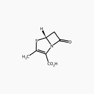 CC1=C(C(=O)O)N2C(=O)C[C@H]2S1